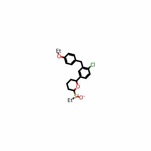 CCOc1ccc(Cc2cc(C3CCCC([S+]([O-])CC)O3)ccc2Cl)cc1